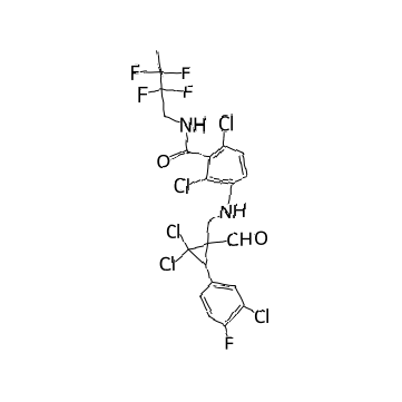 CC(F)(F)C(F)(F)CNC(=O)c1c(Cl)ccc(NCC2(C=O)C(c3ccc(F)c(Cl)c3)C2(Cl)Cl)c1Cl